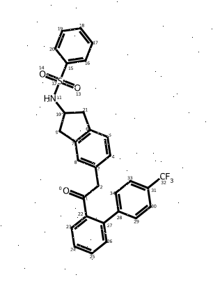 O=C(Cc1ccc2c(c1)CC(NS(=O)(=O)c1ccccc1)C2)c1ccccc1-c1ccc(C(F)(F)F)cc1